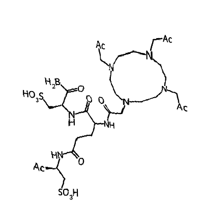 BC(=O)[C@H](CS(=O)(=O)O)NC(=O)C(CCC(=O)N[C@@H](CS(=O)(=O)O)C(C)=O)NC(=O)CN1CCN(CC(C)=O)CCN(CC(C)=O)CCN(CC(C)=O)CC1